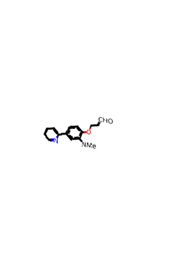 CNc1cc(C2=CCCC=N2)ccc1OCCC=O